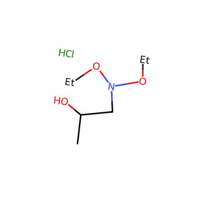 CCON(CC(C)O)OCC.Cl